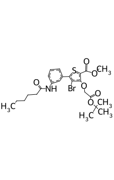 CCCCCC(=O)Nc1cccc(-c2sc(C(=O)OC)c(OCC(=O)OC(C)(C)C)c2Br)c1